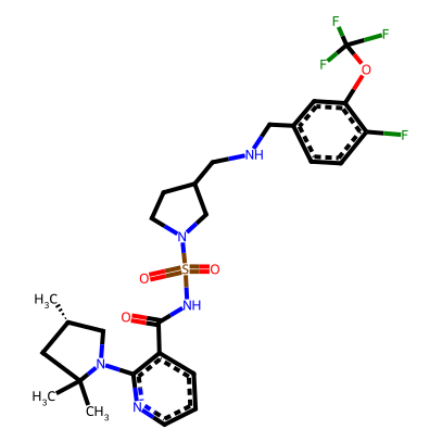 C[C@@H]1CN(c2ncccc2C(=O)NS(=O)(=O)N2CCC(CNCc3ccc(F)c(OC(F)(F)F)c3)C2)C(C)(C)C1